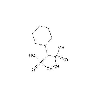 O=P(O)(O)C(C1CCCCC1)P(=O)(O)O